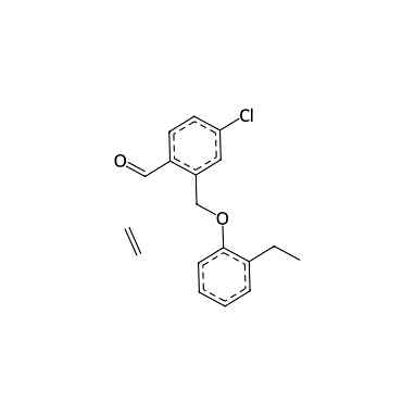 C=C.CCc1ccccc1OCc1cc(Cl)ccc1C=O